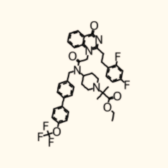 CCOC(=O)C(C)(C)N1CCC(N(Cc2ccc(-c3ccc(OC(F)(F)F)cc3)cc2)C(=O)Cn2c(CCc3ccc(F)cc3F)nc(=O)c3ccccc32)CC1